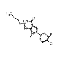 Cn1c(-c2ccc(Cl)c(F)c2)nc2c(=O)[nH]c(SCCC(F)(F)F)nc21